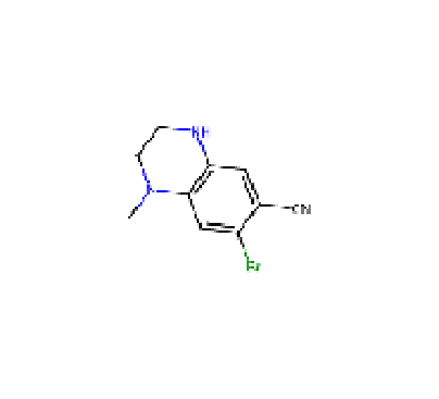 CN1CCNc2cc(C#N)c(Br)cc21